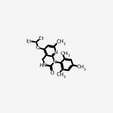 CCC(CC)Oc1cc(C)nc2c1CNC(=O)N2c1c(C)cc(C)cc1C